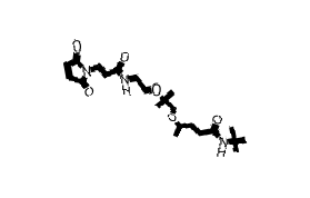 CC(CCC(=O)NC(C)(C)C)OCC(C)(C)OCCNC(=O)CCN1C(=O)C=CC1=O